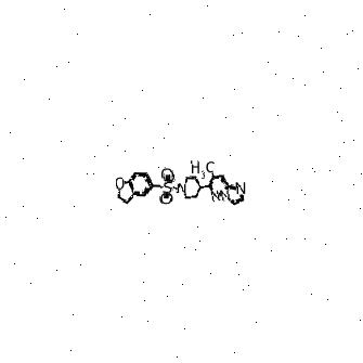 Cc1cc2nccn2nc1C1CCN(S(=O)(=O)c2ccc3c(c2)CCO3)CC1